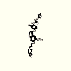 COc1cc2c(Oc3ccc(NC(=O)Nc4cc(C)on4)c(Cl)c3)ccnc2cc1OCCCN1CCC2(CC1)COC2